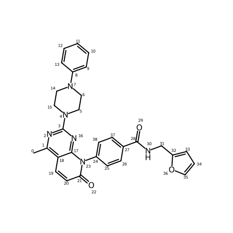 Cc1nc(N2CCN(c3ccccc3)CC2)nc2c1ccc(=O)n2-c1ccc(C(=O)NCc2ccco2)cc1